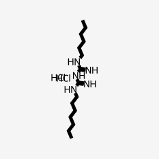 CCCCCCCNC(=N)NC(=N)NCCCCCC.Cl.Cl